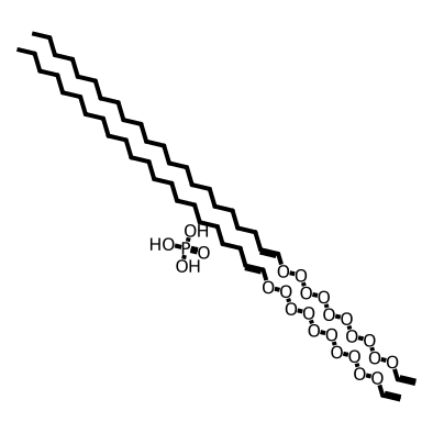 C=COOOOOOOOOOC=CCCCCCCCCCCCCCCCCCCCC.C=COOOOOOOOOOC=CCCCCCCCCCCCCCCCCCCCC.O=P(O)(O)O